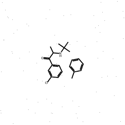 CC(NC(C)(C)C)C(=O)c1cccc(Cl)c1.Cc1ccccc1